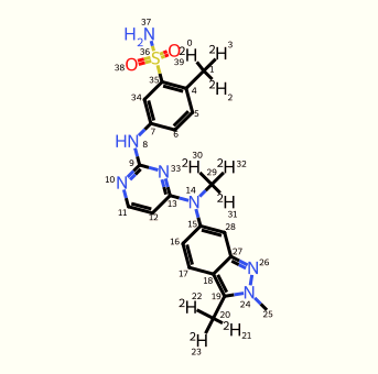 [2H]C([2H])([2H])c1ccc(Nc2nccc(N(c3ccc4c(C([2H])([2H])[2H])n(C)nc4c3)C([2H])([2H])[2H])n2)cc1S(N)(=O)=O